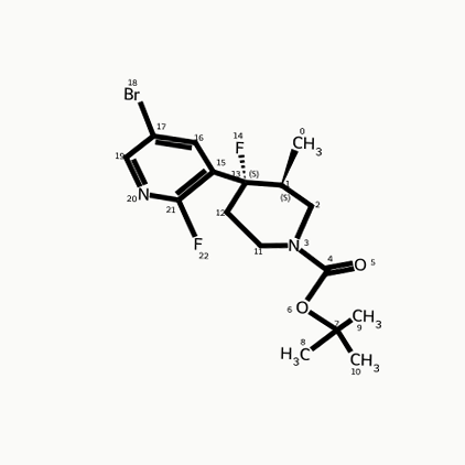 C[C@H]1CN(C(=O)OC(C)(C)C)CC[C@@]1(F)c1cc(Br)cnc1F